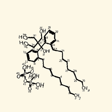 CCCCCCCCCc1ccccc1C(O)(c1ccccc1CCCCCCCCC)C(CO)(CO)CO.O=P(O)(O)OP(=O)(O)O